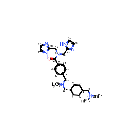 CCCN(CCC)C[C@H]1CC[C@H](CN(C)Cc2ccc(C(=O)N(Cc3ncc[nH]3)Cc3ncc[nH]3)cc2)CC1